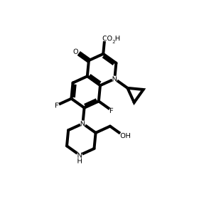 O=C(O)c1cn(C2CC2)c2c(F)c(N3CCNCC3CO)c(F)cc2c1=O